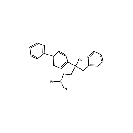 CC(C)N(CCC(C#N)(Cc1ccccn1)c1ccc(-c2ccccc2)cc1)C(C)C